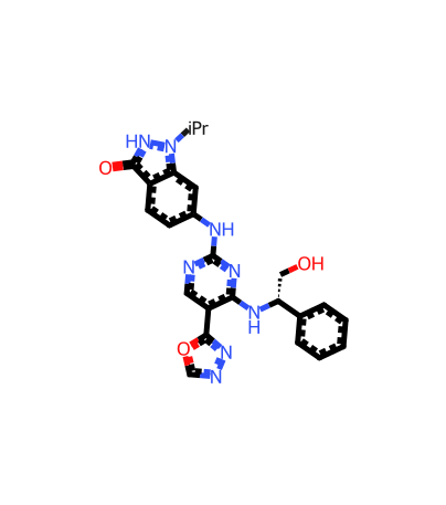 CC(C)n1[nH]c(=O)c2ccc(Nc3ncc(-c4nnco4)c(N[C@H](CO)c4ccccc4)n3)cc21